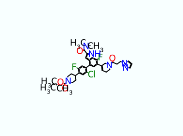 CN(C)C(=O)c1cc2c(-c3cc(F)c(C4CCN(C(=O)OC(C)(C)C)CC4)cc3Cl)cc(C3=CCCN(C(=O)CCn4cccn4)C3)c(F)c2[nH]1